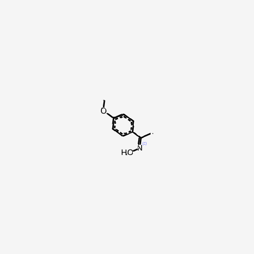 [CH2]/C(=N/O)c1ccc(OC)cc1